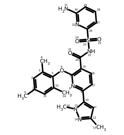 Cc1cc(C)c(Oc2nc(-c3cc(C)nn3C)ccc2C(=O)NS(=O)(=O)c2cccc(N)n2)c(C)c1